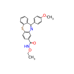 CCONC(=O)c1ccc2c(c1)N=C(c1ccc(OC)cc1)c1ccccc1S2